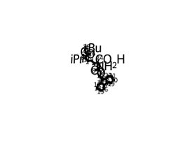 CC(C)N(CCC[C@H](NC(=O)OCC1c2ccccc2-c2ccccc21)C(=O)O)C(=O)OC(C)(C)C